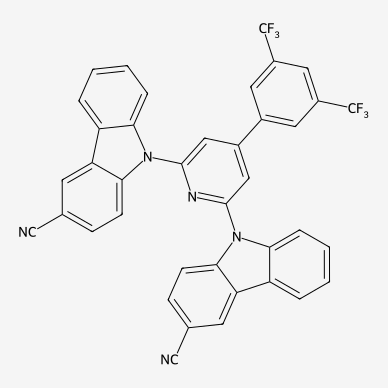 N#Cc1ccc2c(c1)c1ccccc1n2-c1cc(-c2cc(C(F)(F)F)cc(C(F)(F)F)c2)cc(-n2c3ccccc3c3cc(C#N)ccc32)n1